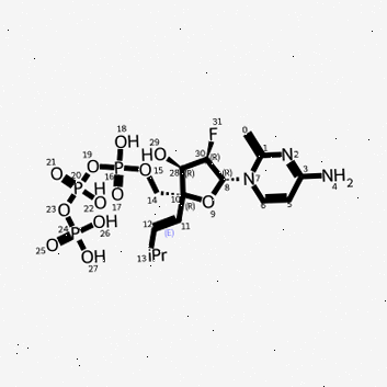 C=C1N=C(N)C=CN1[C@@H]1O[C@](/C=C/C(C)C)(COP(=O)(O)OP(=O)(O)OP(=O)(O)O)[C@@H](O)[C@H]1F